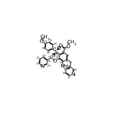 COC(=O)c1cc(Cc2cccnc2)c(N)c(OCc2cccnc2)c1S(=O)(=O)c1ccc(OC)cc1